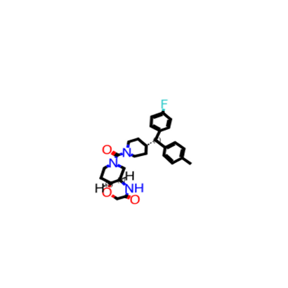 Cc1ccc([C@@H](c2ccc(F)cc2)C2CCN(C(=O)N3CC[C@@H]4OCC(=O)N[C@@H]4C3)CC2)cc1